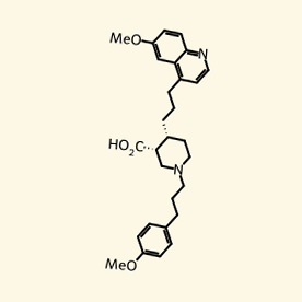 COc1ccc(CCCN2CC[C@@H](CCCc3ccnc4ccc(OC)cc34)[C@@H](C(=O)O)C2)cc1